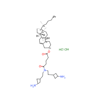 CC(C)CCC[C@@H](C)[C@H]1CC[C@H]2[C@@H]3CC=C4C[C@@H](OC(=O)CCCC(=O)N(CCC5CC(N)C5)CCC5CC(N)C5)CC[C@]4(C)[C@H]3CC[C@]12C.Cl.Cl